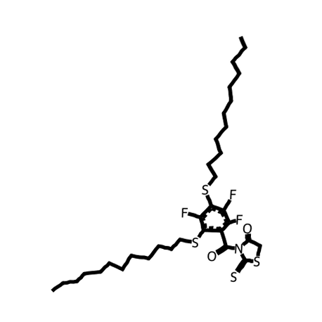 CCCCCCCCCCCCSc1c(F)c(F)c(C(=O)N2C(=O)CSC2=S)c(SCCCCCCCCCCCC)c1F